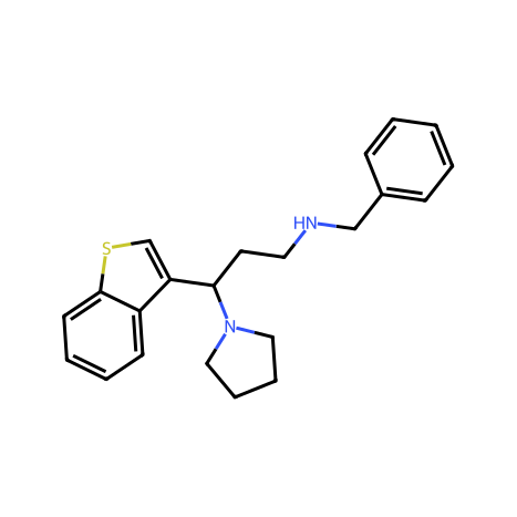 c1ccc(CNCCC(c2csc3ccccc23)N2CCCC2)cc1